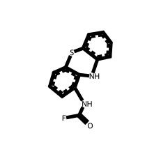 O=C(F)Nc1cccc2c1Nc1ccccc1S2